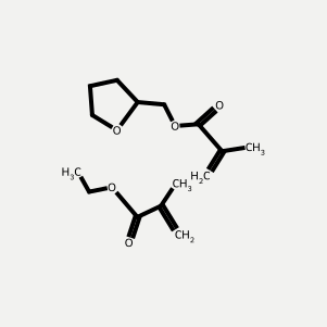 C=C(C)C(=O)OCC.C=C(C)C(=O)OCC1CCCO1